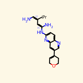 CC(C)C(=C/N)/C=C(\N)Nc1ccc2ncc(C3=CCOCC3)cc2n1